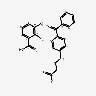 O=C(O)CCOc1ccc(C(=O)c2ccccc2)cc1.O=C(O)c1cccc(Cl)c1O